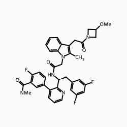 CNC(=O)c1cc(-c2cccnc2[C@H](Cc2cc(F)cc(F)c2)NC(=O)Cn2c(C)c(CC(=O)N3CC(OC)C3)c3ccccc32)ccc1F